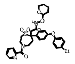 CCc1ccc(Oc2ccc(C3(CC(=O)NOC4CCCCO4)CCN(C(=O)c4ccccn4)CCS3(=O)=O)cc2)cc1